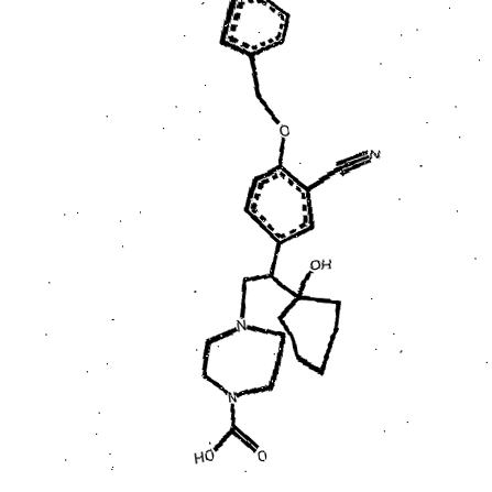 N#Cc1cc(C(CN2CCN(C(=O)O)CC2)C2(O)CCCCC2)ccc1OCc1ccccc1